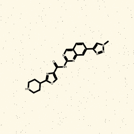 Cn1cc(-c2ccc3cnc(NC(=O)c4coc(C5CCNCC5)n4)nc3c2)nn1